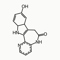 O=C1CC2=C(NC3C=CC(O)=CC23)c2ncccc2N1